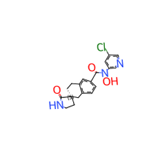 O=C(c1ccc2c(c1)CC[C@@]1(CCNC1=O)C2)N(O)c1cncc(Cl)c1